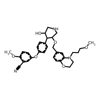 COCCCN1CCOc2ccc(COC3CNCC(O)C3c3ccc(Oc4ccc(OC)c(C#N)c4)cc3)cc21